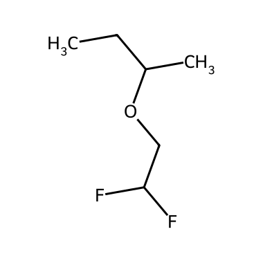 CCC(C)OCC(F)F